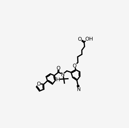 [2H]C(C)(C)N(Cc1cc(C#N)ccc1OCCCCCC(=O)O)C(=O)c1ccc(-c2ccco2)cc1